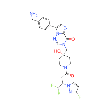 NCc1ccc(-c2cnc3c(=O)n(CC4(O)CCN(C(=O)CC(C(F)F)n5ccc(F)n5)CC4)cnn23)cc1